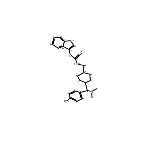 CN(C)C(c1ccc(Cl)cc1)C1CCC(CNC(=O)Oc2csc3ccccc23)CC1